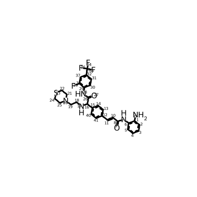 Nc1ccccc1NC(=O)C=Cc1ccc(C(NCCN2CCSCC2)C(=O)Nc2ccc(C(F)(F)F)cc2F)cc1